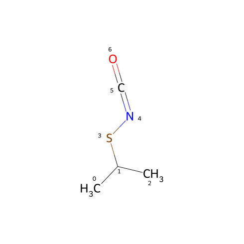 CC(C)SN=C=O